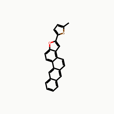 Cc1ccc(-c2cc3c(ccc4c5cc6ccccc6cc5ccc34)o2)s1